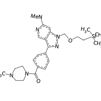 CNc1cc2c(cn1)c(-c1ccc(C(=O)N3CCN(C)CC3)cc1)nn2COCC[Si](C)(C)C